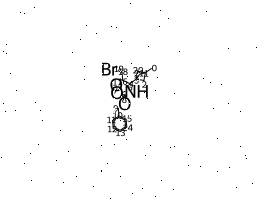 CC12CC(C(NC(=O)OCc3ccccc3)C(=O)CBr)(C1)C2